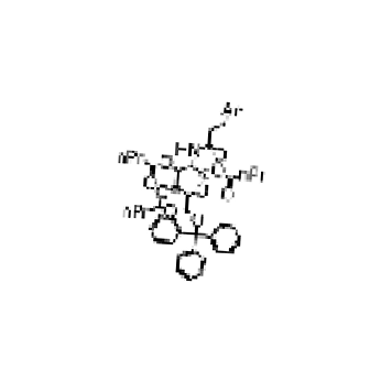 CCCC(=O)OC1C(NC(=O)CCC(C)=O)[C@H](OC(=O)CCC)OC(COC(c2ccccc2)(c2ccccc2)c2ccccc2)[C@H]1OC(=O)CCC